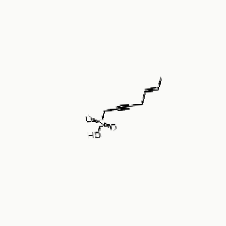 CC=CCC#CCS(=O)(=O)O